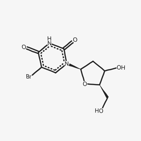 O=c1[nH]c(=O)n([C@H]2CC(O)[C@@H](CO)O2)cc1Br